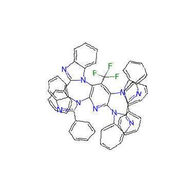 FC(F)(F)c1c(-n2c(-c3ccccc3)nc3ccccc32)c(-n2c(-c3ccccc3)nc3ccccc32)nc(-n2c(-c3ccccc3)nc3ccccc32)c1-n1c(-c2ccccc2)nc2ccccc21